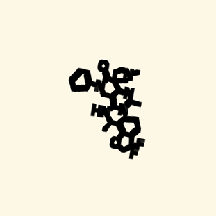 Cc1nc(N[C@H](C)c2cccc3c2OCC3(F)F)c2c(n1)C1(CCN(C)C1)C(=O)N(c1ccccc1)C2